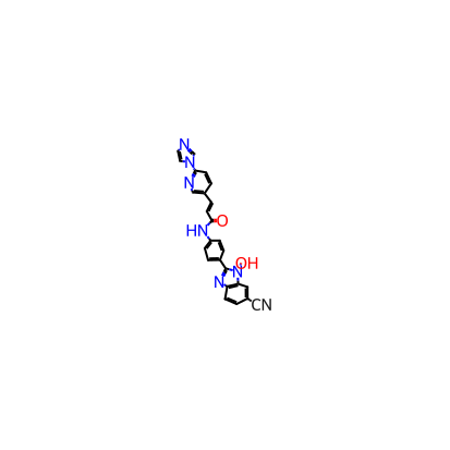 N#Cc1ccc2nc(-c3ccc(NC(=O)/C=C/c4ccc(-n5ccnc5)nc4)cc3)n(O)c2c1